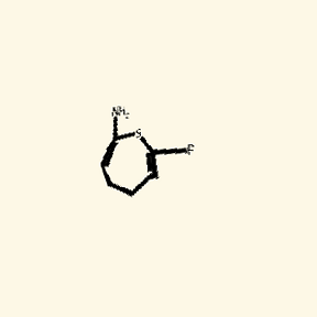 NC1=CCCC=C(F)S1